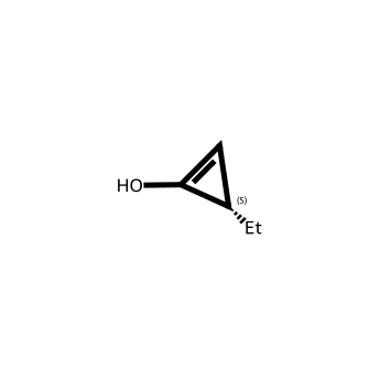 CC[C@H]1C=C1O